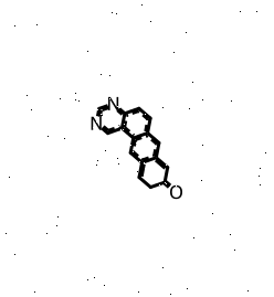 O=C1C=c2cc3ccc4ncncc4c3cc2=CC1